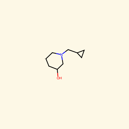 OC1C[CH]CN(CC2CC2)C1